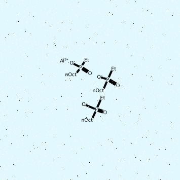 CCCCCCCCP(=O)([O-])CC.CCCCCCCCP(=O)([O-])CC.CCCCCCCCP(=O)([O-])CC.[Al+3]